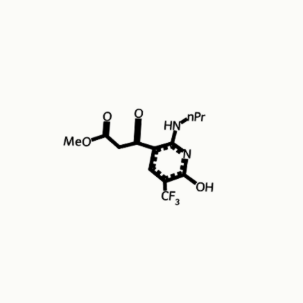 CCCNc1nc(O)c(C(F)(F)F)cc1C(=O)CC(=O)OC